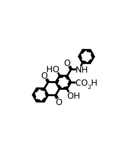 O=C(O)c1c(O)c2c(c(O)c1C(=O)Nc1ccccc1)C(=O)c1ccccc1C2=O